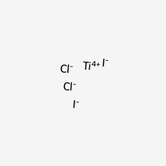 [Cl-].[Cl-].[I-].[I-].[Ti+4]